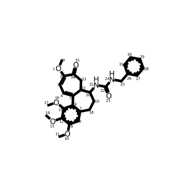 COC1=CC=C2c3c(cc(OC)c(OC)c3OC)CCC(NC(=O)NCc3ccccc3)C2CC1=O